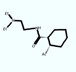 CCN(CC)CCNC(=O)[C@@H]1CCCC[C@@H]1C(C)=O